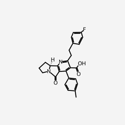 Cc1ccc(-c2c(C(=O)O)c(CCc3ccc(F)cc3)nc3c2C(=O)N2CCC[C@@H]32)cc1